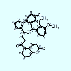 COc1cccc([C@H]2O[C@H](CCC(=O)N3CCCCC3OCC(=O)O)c3cccn3-c3ccc(Cl)cc32)c1OC